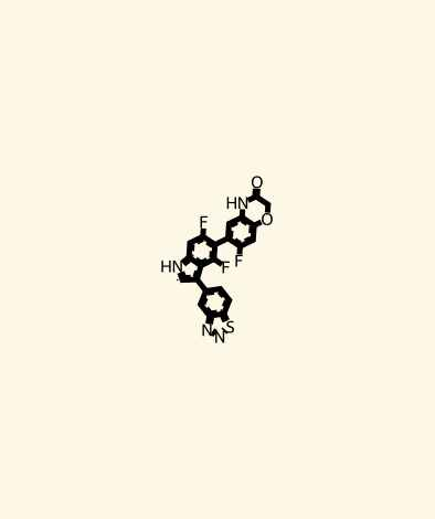 O=C1COc2cc(F)c(-c3c(F)cc4[nH][c]c(-c5ccc6snnc6c5)c4c3F)cc2N1